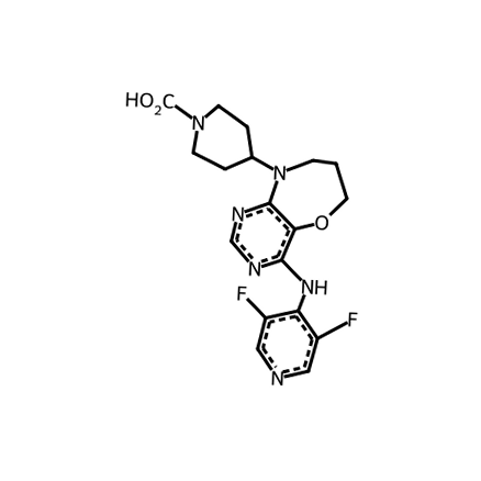 O=C(O)N1CCC(N2CCCOc3c(Nc4c(F)cncc4F)ncnc32)CC1